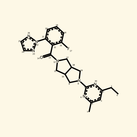 CCc1cc(C)nc(N2CC3CN(C(=O)c4c(F)cccc4-n4nccn4)CC3C2)n1